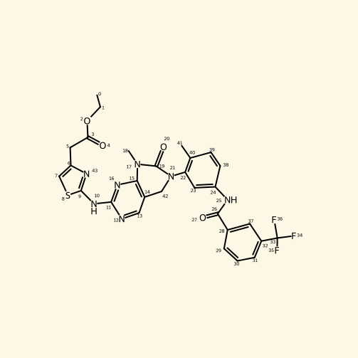 CCOC(=O)Cc1csc(Nc2ncc3c(n2)N(C)C(=O)N(c2cc(NC(=O)c4cccc(C(F)(F)F)c4)ccc2C)C3)n1